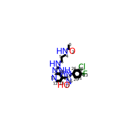 CC(=O)NCCCNc1nc2nccc(/C(=N\O)Nc3ccc(F)c(Cl)c3)c2[nH]1